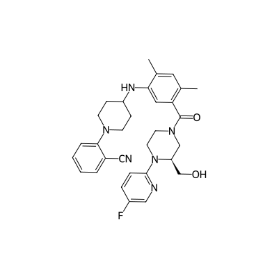 Cc1cc(C)c(C(=O)N2CCN(c3ccc(F)cn3)[C@H](CO)C2)cc1NC1CCN(c2ccccc2C#N)CC1